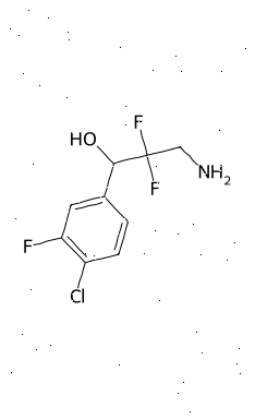 NCC(F)(F)C(O)c1ccc(Cl)c(F)c1